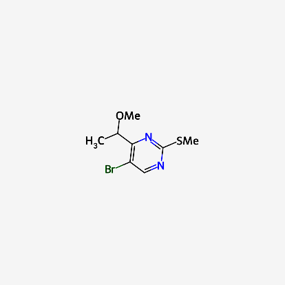 COC(C)c1nc(SC)ncc1Br